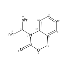 CCCC(CCC)N1C(=O)OCc2ccccc21